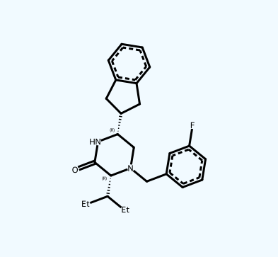 CCC(CC)[C@@H]1C(=O)N[C@H](C2Cc3ccccc3C2)CN1Cc1cccc(F)c1